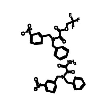 NC(=O)C(=O)N(Cc1ccccc1)Cc1cccc([N+](=O)[O-])c1.O=C(OCC(F)(F)F)C(=O)N(Cc1ccccc1)Cc1cccc([N+](=O)[O-])c1